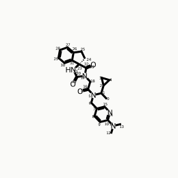 CC(C1CC1)N(Cc1ccc(N(C)C)nc1)C(=O)CN1C(=O)N[C@]2(CCc3ccccc32)C1=O